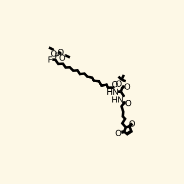 CCOP(=O)(OCC)C(F)CCCCCCCCCCCCCCCC(=O)NC(CNC(=O)CCCCCC1C(=O)C=CC1=O)C(=O)OC(C)(C)C